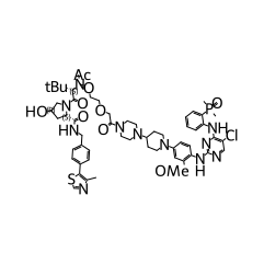 COc1cc(N2CCC(N3CCN(C(=O)COCCON(C(C)=O)[C@H](C(=O)N4C[C@H](O)C[C@H]4C(=O)NCc4ccc(-c5scnc5C)cc4)C(C)(C)C)CC3)CC2)ccc1Nc1ncc(Cl)c(Nc2ccccc2P(C)(C)=O)n1